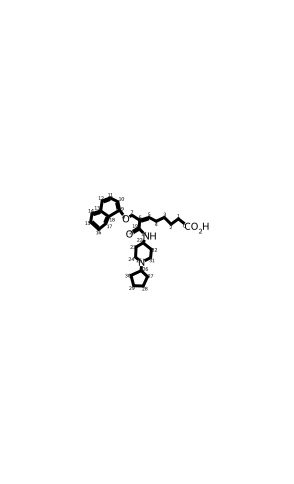 O=C(O)CCCCC=C(COc1cccc2ccccc12)C(=O)NC1CCN(C2CCCC2)CC1